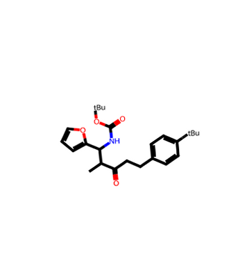 CC(C(=O)CCc1ccc(C(C)(C)C)cc1)C(NC(=O)OC(C)(C)C)c1ccco1